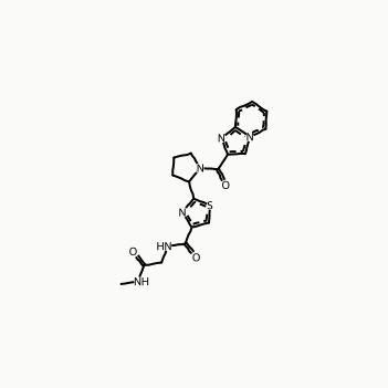 CNC(=O)CNC(=O)c1csc(C2CCCN2C(=O)c2cn3ccccc3n2)n1